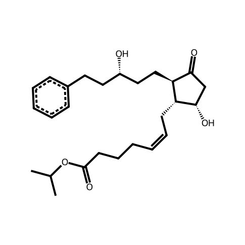 CC(C)OC(=O)CCC/C=C\C[C@H]1[C@@H](O)CC(=O)[C@@H]1CC[C@@H](O)CCc1ccccc1